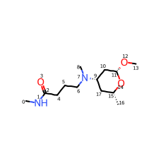 CNC(=O)CCCN(C)[C@@H]1C[C@H](OC)O[C@H](C)C1